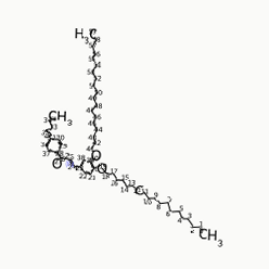 CCCCCCCCCCCCCCCCCCCOc1ccc(/C=C/C(=O)c2ccc(SCCC)cc2)cc1OCCCCCCCCCCCCCCCCCCC